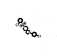 CCc1ccc(N2CCC3(CCN(S(=O)(=O)c4ccccc4Cl)CC3)C2)cc1